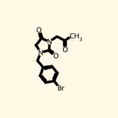 CC(=O)CN1C(=O)CN(Cc2ccc(Br)cc2)C1=O